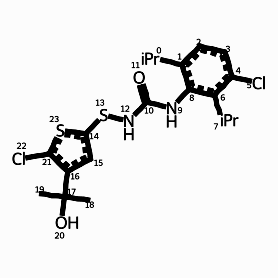 CC(C)c1ccc(Cl)c(C(C)C)c1NC(=O)NSc1cc(C(C)(C)O)c(Cl)s1